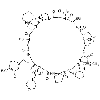 CC[C@H](C)[C@@H]1NC(=O)[C@H](CC(C)C)N(C)C(=O)C[C@@H](C(=O)N(C)C)N(C)C(=O)[C@H](C2CCCC2)N(C)C(=O)C2(CCCC2)NC(=O)[C@H](CC(=O)N2CCOCC2)N(C)C(=O)[C@H](CCc2ccc(C(F)(F)F)c(Cl)c2)NC(=O)CN(C)C(=O)[C@H](CC2CCCCC2)N(C)C(=O)[C@@H]2CCN2C(=O)[C@H](C)N(C)C1=O